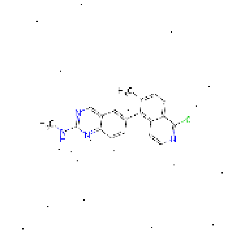 CNc1ncc2cc(-c3c(C)ccc4c(Cl)nccc34)ccc2n1